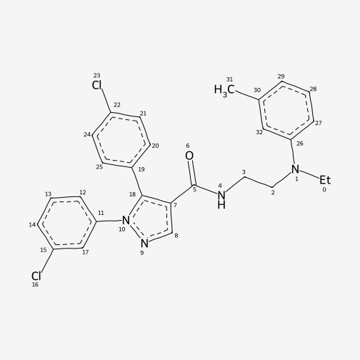 CCN(CCNC(=O)c1cnn(-c2cccc(Cl)c2)c1-c1ccc(Cl)cc1)c1cccc(C)c1